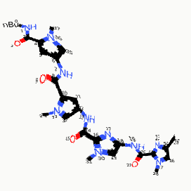 CCCCNC(=O)c1cc(NC(=O)c2cc(NC(=O)c3nc(NC(=O)c4nc(C)cn4C)cn3C)cn2C)cn1C